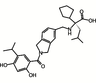 CC(C)C[C@@](NCc1ccc2c(c1)CN(C(=O)c1cc(C(C)C)c(O)cc1O)C2)(C(=O)O)C1CCCC1